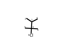 CC(C)C(C)(C)Cl